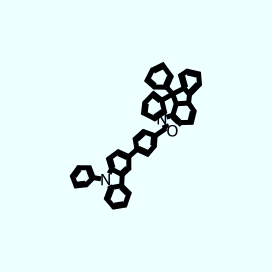 C1=CC2c3ccccc3C(c3ccccc3)(c3ccccc3)C2c2nc(-c3ccc(-c4ccc5c(c4)c4ccccc4n5-c4ccccc4)cc3)oc21